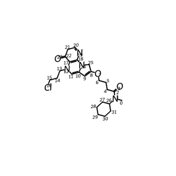 CN(C(=O)CCCOC1=CC2=CN(CCCCl)C3=C(N=CCC3=O)N2C1)C1CCCCC1